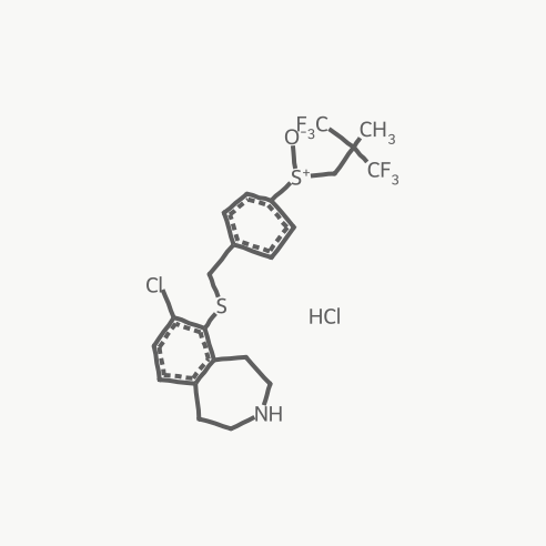 CC(C[S+]([O-])c1ccc(CSc2c(Cl)ccc3c2CCNCC3)cc1)(C(F)(F)F)C(F)(F)F.Cl